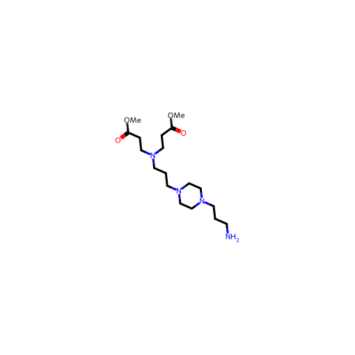 COC(=O)CCN(CCCN1CCN(CCCN)CC1)CCC(=O)OC